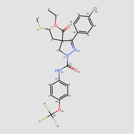 CCOC(=O)C1(CCSC)CN(C(=O)Nc2ccc(OC(F)(F)F)cc2)N=C1c1ccc(Cl)cc1